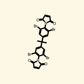 CC(C)(c1cc(Br)c(N2C(=O)C=CC2=O)c(Br)c1)c1cc(Br)c(N2C(=O)C=CC2=O)c(Br)c1